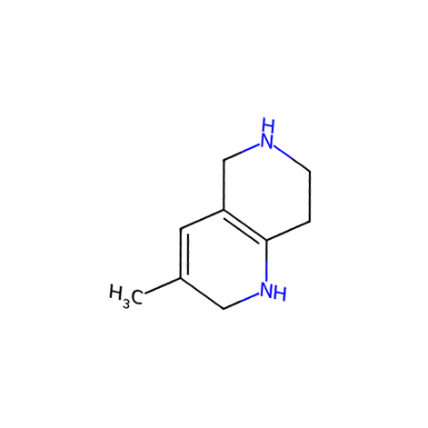 CC1=CC2=C(CCNC2)NC1